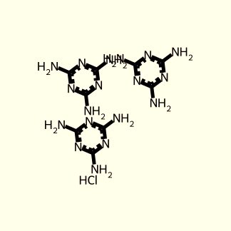 Cl.Nc1nc(N)nc(N)n1.Nc1nc(N)nc(N)n1.Nc1nc(N)nc(N)n1